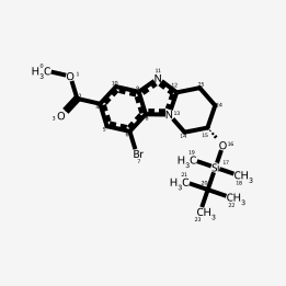 COC(=O)c1cc(Br)c2c(c1)nc1n2C[C@@H](O[Si](C)(C)C(C)(C)C)CC1